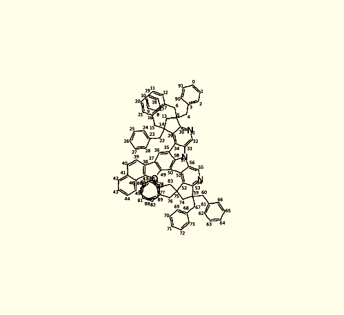 c1ccc(CC2(Cc3ccccc3)CC(Cc3ccccc3)(Cc3ccccc3)c3c2ncc2c3c3cc4c5ccc6ccccc6c5oc4c4c5c6c(ncc5n2c34)C(Cc2ccccc2)(Cc2ccccc2)CC6(Cc2ccccc2)Cc2ccccc2)cc1